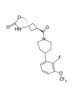 O=C1N[C@]2(CO1)C[C@H](C(=O)N1CCC(c3cccc(OC(F)(F)F)c3F)CC1)C2